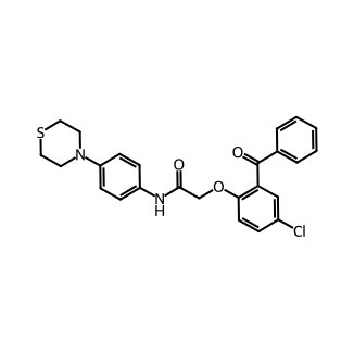 O=C(COc1ccc(Cl)cc1C(=O)c1ccccc1)Nc1ccc(N2CCSCC2)cc1